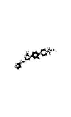 CS(=O)(=O)N1CCN(c2ccc(N3C[C@H](COc4ccon4)OC3=O)cc2F)CC1